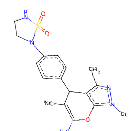 CCn1nc(C)c2c1OC(N)=C(C#N)C2c1ccc(N2CCNS2(=O)=O)cc1